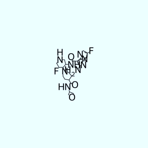 Nc1nn2cc(F)cnc2c1C(=O)NC1CNCC(F)C1N1CCC(C(=O)NC2COC2)CC1